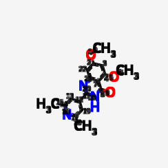 COc1cc(OC)c2c(=O)[nH]c(-c3cc(C)nc(C)c3)nc2c1